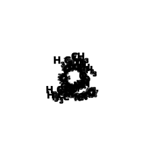 CCc1ccncc1-c1c2c3cc(ccc3n1CC)-c1cccc(c1)C[C@H](NC(=O)[C@H](C(C)C)N(C)C(=O)CCN=C=NCc1ccccc1)C(=O)N1CCC[C@H](N1)C(=O)OCC(C)(C)C2